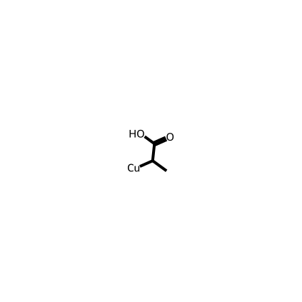 C[CH]([Cu])C(=O)O